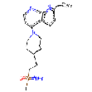 COc1ccc2c(N3CCC(CCS(C)(=N)=O)CC3)ccnc2n1